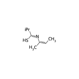 C/C=C(C)\N=C(/S)C(C)C